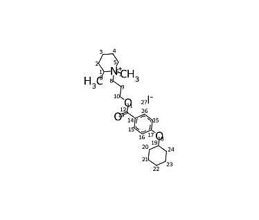 CC1CCCC[N+]1(C)CCCOC(=O)c1ccc(OC2CCCCC2)cc1.[I-]